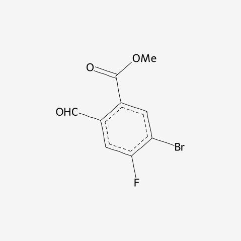 COC(=O)c1cc(Br)c(F)cc1C=O